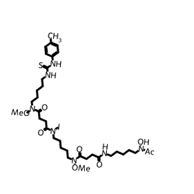 CON(CCCCCN(I)C(=O)CCC(=O)N(CCCCCNC(=S)Nc1ccc(C)cc1)OC)C(=O)CCC(=O)NCCCCCN(O)C(C)=O